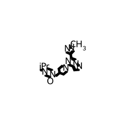 CC(C)CN1CCN(CC2CCN(c3nc(-c4cnn(C)c4)cn4nccc34)CC2)C(=O)C1